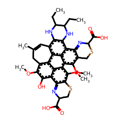 CCC1Nc2c(c3c4c(c(OC)c5c6c(OC)c7c(c8c(O)c(OC)c9c(c(c2C=C(C)C9)c35)c86)=NC(C(=O)O)CS7)CSC(C(=O)O)N=4)NC1CC